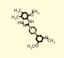 COc1cc(OC)cc(N2CCN(C(=NO)Nc3cc(C)c(C)cc3OC)CC2)c1